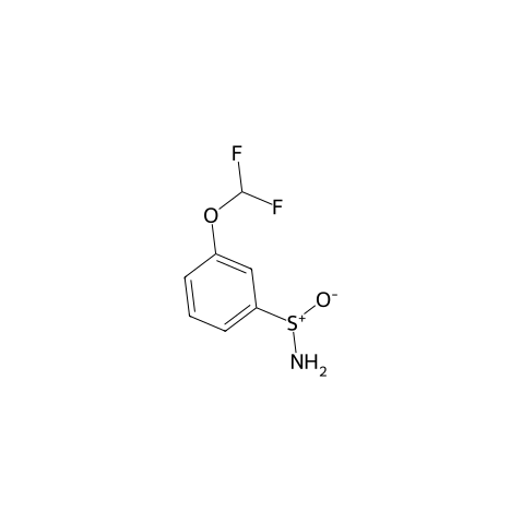 N[S+]([O-])c1cccc(OC(F)F)c1